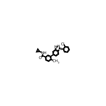 Cc1ccc(C(=O)NC2CC2)cc1-c1ccc2c(c1)nnn2-c1ccccc1Cl